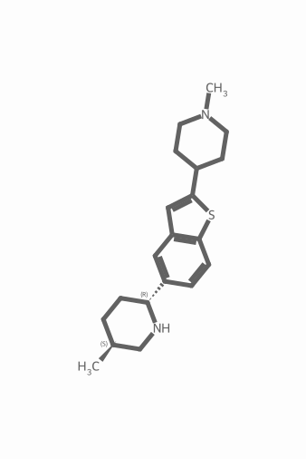 C[C@H]1CC[C@H](c2ccc3sc(C4CCN(C)CC4)cc3c2)NC1